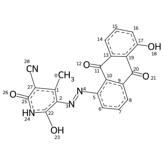 Cc1c(/N=N/c2cccc3c2C(=O)c2cccc(O)c2C3=O)c(O)[nH]c(=O)c1C#N